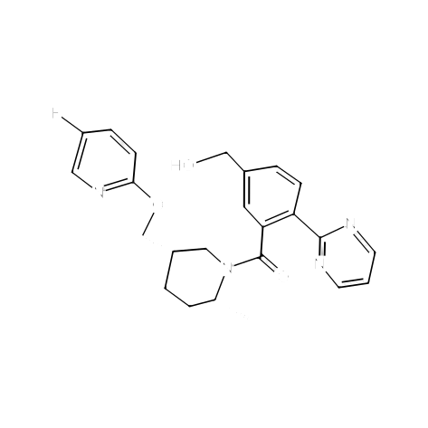 C[C@@H]1CC[C@H](COc2ccc(F)cn2)CN1C(=O)c1cc(CO)ccc1-c1ncccn1